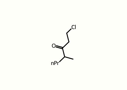 CCCC(C)C(=O)CCCl